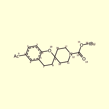 CC(=O)c1ccc2c(c1)CCC1(CCN(C(=O)OC(C)(C)C)CC1)O2